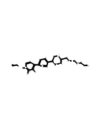 C=CCOc1ccc(-c2ccc(C3CCC(CCCCCCC)CC3)cc2)c(F)c1F